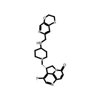 O=c1ccc2ncc(F)c3c2n1C[C@H]3CN1CCC(NCc2cc3c(cn2)OCCS3)CC1